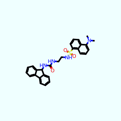 CN(C)c1cccc2c(S(=O)(=O)NCCNC(=O)NC3c4ccccc4-c4ccccc43)cccc12